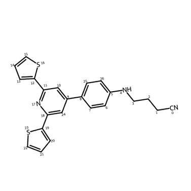 N#CCCCNc1ccc(-c2cc(-c3cccs3)nc(-c3cccs3)c2)cc1